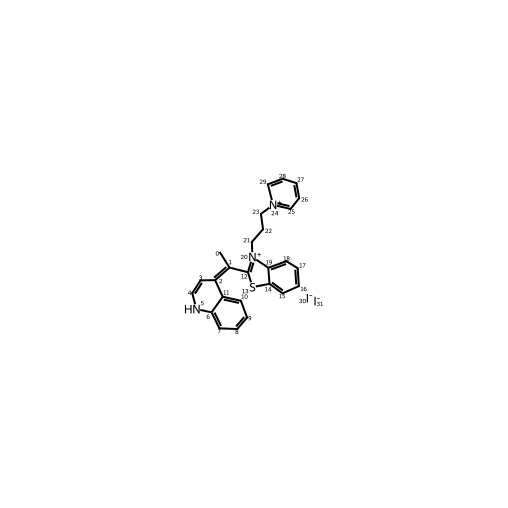 CC(=C1C=CNc2ccccc21)c1sc2ccccc2[n+]1CCC[n+]1ccccc1.[I-].[I-]